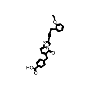 CCOc1ccccc1CC#Cc1cn2c(=O)c(Cc3ccc(C(=O)O)cc3)ccc2s1